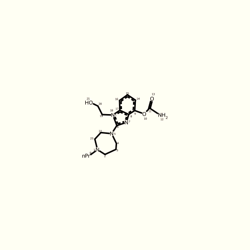 CCCN1CCCN(c2nc3c(OC(N)=O)cccc3n2CCO)CC1